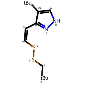 CC(C)(C)CSS/C=C\c1n[nH]cc1C(C)(C)C